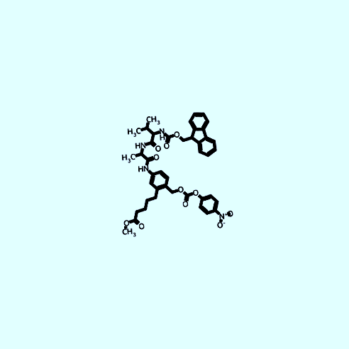 COC(=O)CCCCc1cc(NC(=O)C(C)NC(=O)C(NC(=O)OCC2c3ccccc3-c3ccccc32)C(C)C)ccc1COC(=O)Oc1ccc([N+](=O)[O-])cc1